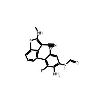 CNc1sc2cccc(-c3c(Br)cc(NC=O)c(N)c3F)c2c1C#N